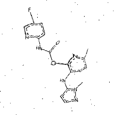 Cc1ccc(Nc2ccnn2C)c(OC(=O)Nc2ccc(F)cn2)n1